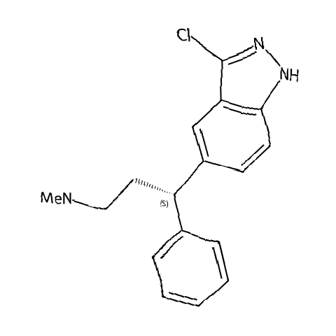 CNCC[C@@H](c1ccccc1)c1ccc2[nH]nc(Cl)c2c1